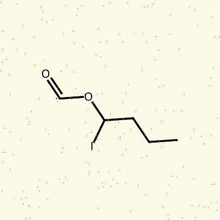 CCCC(I)O[C]=O